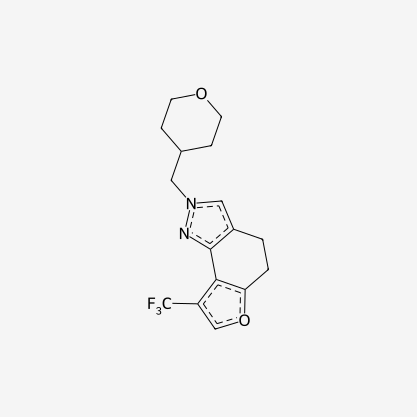 FC(F)(F)c1coc2c1-c1nn(CC3CCOCC3)cc1CC2